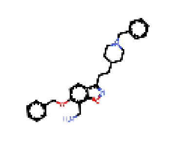 NCc1c(OCc2ccccc2)ccc2c(CCC3CCN(Cc4ccccc4)CC3)noc12